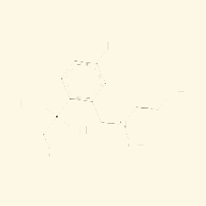 CCC(C)(C)c1ccc(F)cc1CN(C)CCO